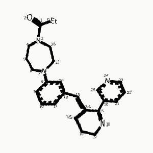 CCC(=O)N1CCCN(c2cccc(C=C3CCCN=C3c3cccnc3)c2)CC1